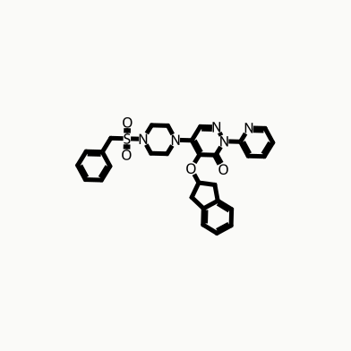 O=c1c(OC2Cc3ccccc3C2)c(N2CCN(S(=O)(=O)Cc3ccccc3)CC2)cnn1-c1ccccn1